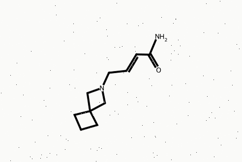 NC(=O)C=CCN1CC2(CCC2)C1